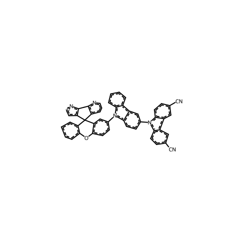 N#Cc1ccc2c(c1)c1cc(C#N)ccc1n2-c1ccc2c(c1)c1ccccc1n2-c1ccc2c(c1)C1(c3ccccc3O2)c2cccnc2-c2ncccc21